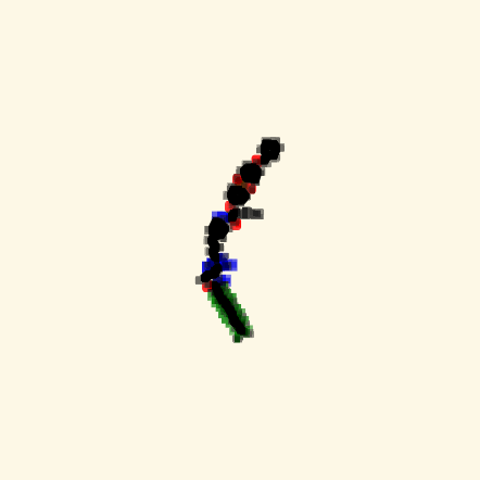 CCCCCCCCCCC(Oc1ccc(S(=O)(=O)c2ccc(OCc3ccccc3)cc2)cc1)C(=O)Nc1ccc(CCCc2n[nH]c3c(NC(=O)C(F)(F)C(F)(F)C(F)(F)C(F)(F)C(F)(F)C(F)(F)C(F)(F)C(F)F)c(C)nn23)cc1